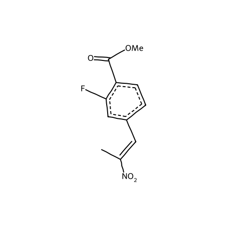 COC(=O)c1ccc(/C=C(\C)[N+](=O)[O-])cc1F